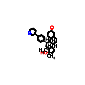 C[C@]1(O)C=C[C@H]2[C@@H]3CCC4=CC(=O)CC[C@@H]4[C@H]3[C@@H](c3ccc(-c4cccnc4)cc3)C[C@@]21C